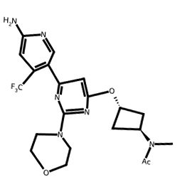 CC(=O)N(C)[C@H]1C[C@H](Oc2cc(-c3cnc(N)cc3C(F)(F)F)nc(N3CCOCC3)n2)C1